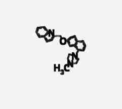 CN1CCN(c2cccc3ccc(OCc4ccc5ccccc5n4)cc23)CC1